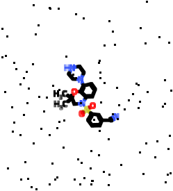 CC1(C)CN(S(=O)(=O)c2cccc(C#N)c2)c2cccc(N3CCNCC3)c2O1